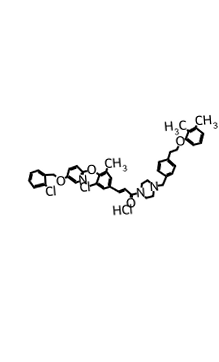 Cc1cccc(OCCc2ccc(CN3CCN(C(=O)C=Cc4cc(C)c(Oc5ccc(OCc6ccccc6Cl)cn5)c(Cl)c4)CC3)cc2)c1C.Cl